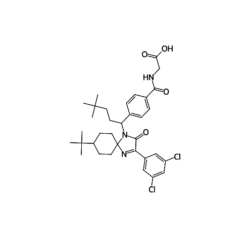 CC(C)(C)CCC(c1ccc(C(=O)NCC(=O)O)cc1)N1C(=O)C(c2cc(Cl)cc(Cl)c2)=NC12CCC(C(C)(C)C)CC2